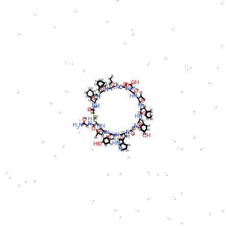 CCCC[C@H]1C(=O)N(C)CC(=O)N[C@@H](CC(=O)O)C(=O)N[C@@H](C(C)C)C(=O)N(C)[C@@H](Cc2ccccc2)C(=O)N[C@@H](Cc2ccc(O)cc2)C(=O)N(C)CC(=O)NC(Cc2c[nH]c3ncccc23)C(=O)N[C@@H](Cc2ccc(O)cc2)C(=O)N[C@@H](CC(C)C)C(=O)N[C@H](C(=O)NCC(N)=O)CSCC(=O)N[C@@H](CC2CCCCC2)C(=O)N(C)[C@@H](Cc2ccccc2)C(=O)N1C